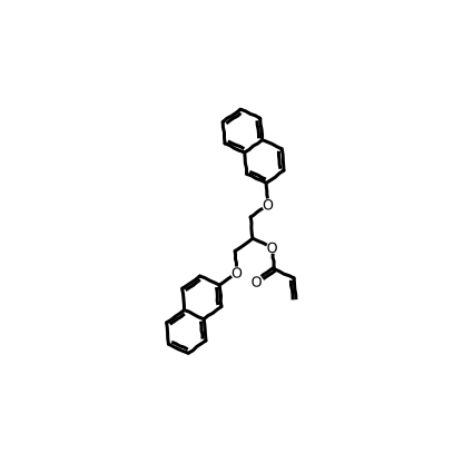 C=CC(=O)OC(COc1ccc2ccccc2c1)COc1ccc2ccccc2c1